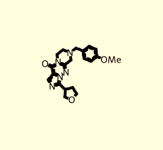 COc1ccc(CN2CCn3c(nn4c(C5CCOC5)ncc4c3=O)C2)cc1